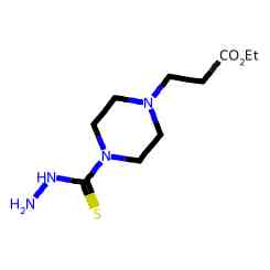 CCOC(=O)CCN1CCN(C(=S)NN)CC1